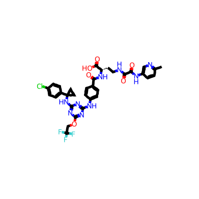 Cc1ccc(NC(=O)C(=O)NCC[C@H](NC(=O)c2ccc(Nc3nc(NC4(c5ccc(Cl)cc5)CC4)nc(OCC(F)(F)F)n3)cc2)C(=O)O)cn1